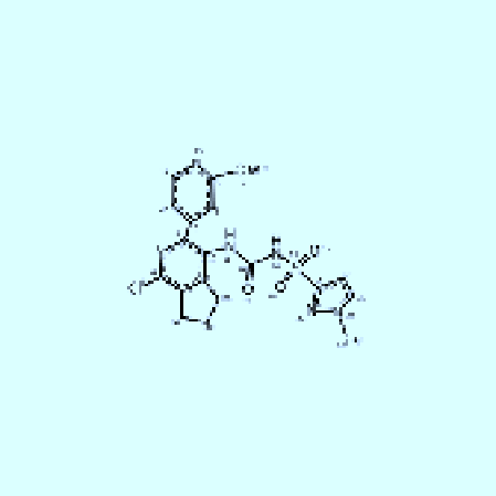 COc1cc(-c2cc(Cl)c3c(c2NC(=O)NS(=O)(=O)c2ccn(C(C)C)n2)CCC3)ccn1